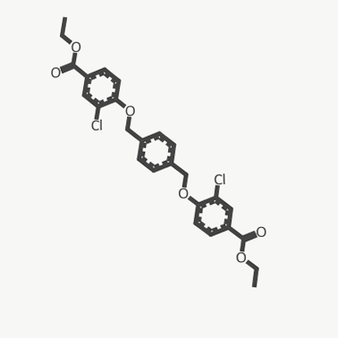 CCOC(=O)c1ccc(OCc2ccc(COc3ccc(C(=O)OCC)cc3Cl)cc2)c(Cl)c1